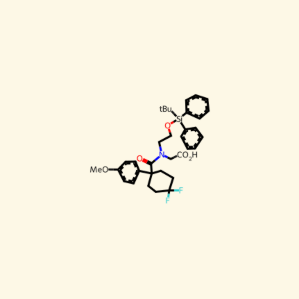 COc1ccc(C2(C(=O)N(CCO[Si](c3ccccc3)(c3ccccc3)C(C)(C)C)CC(=O)O)CCC(F)(F)CC2)cc1